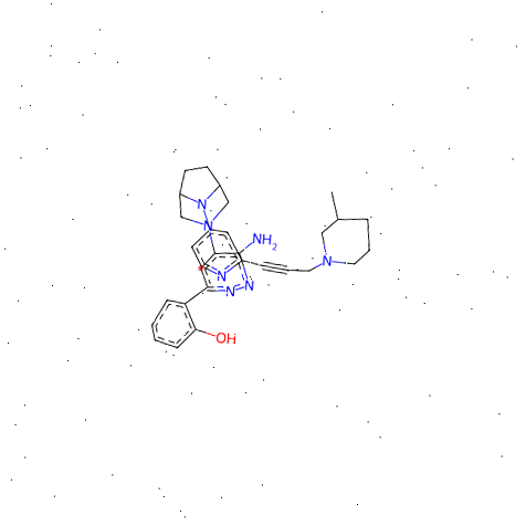 CC1CCCN(CC#Cc2cc(N3C4CCC3CN(c3cc(-c5ccccc5O)nnc3N)C4)ccn2)C1